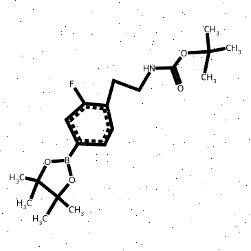 CC(C)(C)OC(=O)NCCc1ccc(B2OC(C)(C)C(C)(C)O2)cc1F